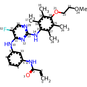 C=CC(=O)Nc1cccc(Nc2nc(Nc3c(C)c(C)c(OCCOC)c(C)c3C)ncc2F)c1